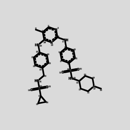 Cc1cnc(Nc2ccc(S(=O)(=O)NC3CCN(C)CC3)cc2)nc1Nc1ccc(CNS(=O)(=O)C2CC2)cc1